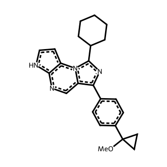 COC1(c2ccc(-c3nc(C4CCCCC4)n4c3cnc3[nH]ccc34)cc2)CC1